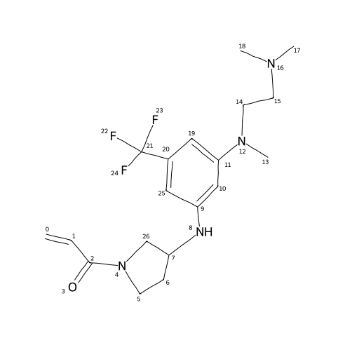 C=CC(=O)N1CCC(Nc2cc(N(C)CCN(C)C)cc(C(F)(F)F)c2)C1